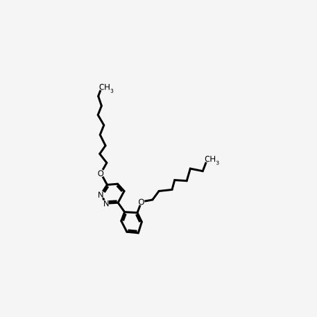 CCCCCCCCCOc1ccc(-c2ccccc2OCCCCCCCC)nn1